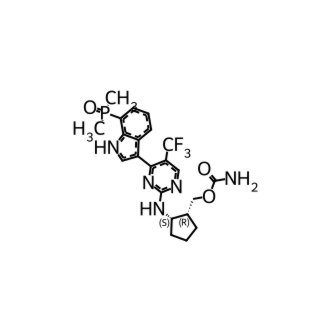 CP(C)(=O)c1cccc2c(-c3nc(N[C@H]4CCC[C@H]4COC(N)=O)ncc3C(F)(F)F)c[nH]c12